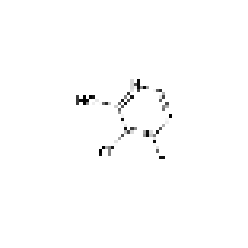 Oc1nccc(F)c1Cl